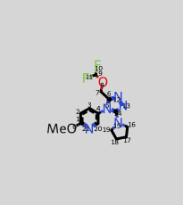 COc1ccc(-n2c(COC(F)F)nnc2N2CCCC2)cn1